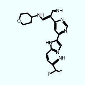 N=C/C(=C\NC1CCOCC1)c1cc(-c2cnc(/C=C\C(=N)C(F)F)[nH]2)ncn1